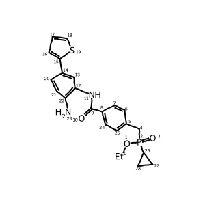 CCOP(=O)(Cc1ccc(C(=O)Nc2cc(-c3cccs3)ccc2N)cc1)C1CC1